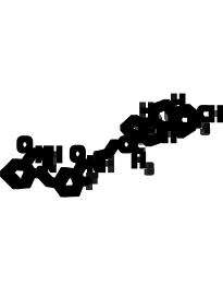 C[C@@H]1CC[C@@]2(C)[C@@H](CC[C@@H]3[C@@H]2CC[C@]2(C)[C@@H](OCCCNC(=O)c4cc(Cc5n[nH]c(=O)c6ccccc56)ccc4F)CC[C@@H]32)C1